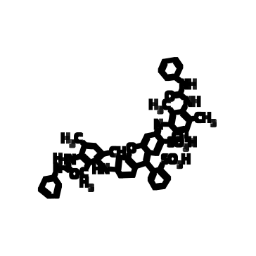 Cc1cc(C)c(NC(=O)Nc2ccccc2)c(C)c1/N=c1/cc2oc3cc(Nc4c(C)cc(C)c(NC(=O)Nc5ccccc5)c4C)ccc3c(-c3ccccc3S(=O)(=O)O)c-2cc1S(=O)(=O)O